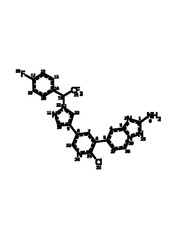 Nc1nc2cc(-c3cc(-c4cnn(C(c5ccc(F)cc5)C(F)(F)F)c4)cnc3Cl)ccn2n1